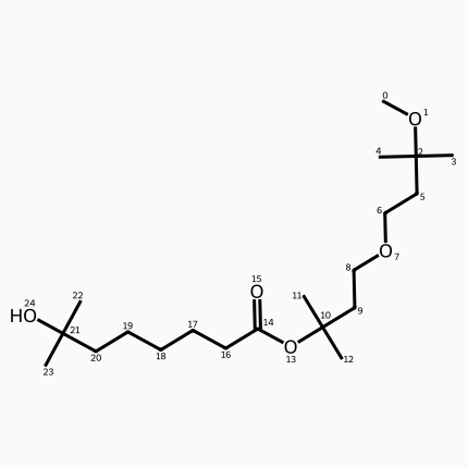 COC(C)(C)CCOCCC(C)(C)OC(=O)CCCCCC(C)(C)O